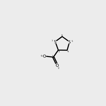 [O]C(=O)C1CSCS1